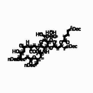 CCCCCCCCCCCCCC(=O)O[C@H](CCCCCCCCCCC)CC(=O)O[C@@H]1[C@@H](NC(=O)C[C@@H](CCCCCCCCCCC)OC(=O)CCCCCCCCCCC)[C@@H](OC[C@H](NC(=O)C[C@H](O)CCCCCCCCCCC)C(=O)O)O[C@H](CO)[C@H]1OP(=O)(O)O